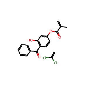 C=C(C)C(=O)Oc1ccc(C(=O)c2ccccc2)c(O)c1.C=C(Cl)Cl